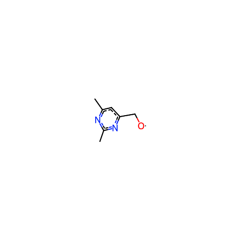 Cc1cc(C[O])nc(C)n1